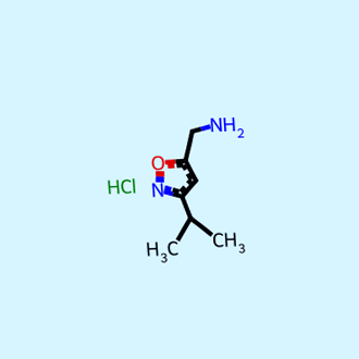 CC(C)c1cc(CN)on1.Cl